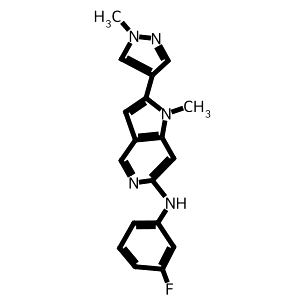 Cn1cc(-c2cc3cnc(Nc4cccc(F)c4)cc3n2C)cn1